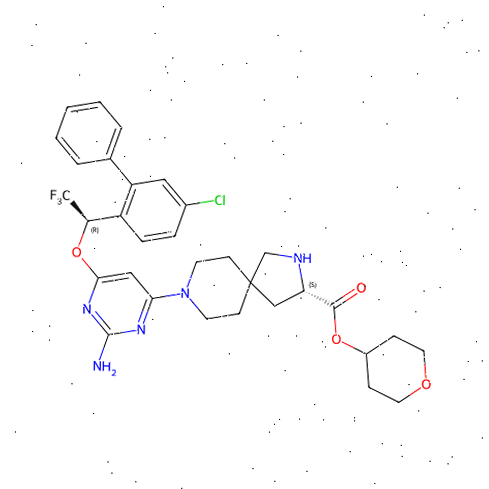 Nc1nc(O[C@H](c2ccc(Cl)cc2-c2ccccc2)C(F)(F)F)cc(N2CCC3(CC2)CN[C@H](C(=O)OC2CCOCC2)C3)n1